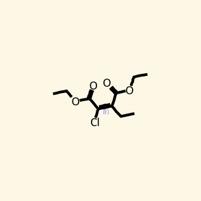 CCOC(=O)/C(Cl)=C(/CC)C(=O)OCC